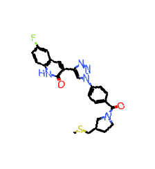 CSCC1CCN(C(=O)c2ccc(-n3cc(-c4cc5cc(F)ccc5[nH]c4=O)nn3)cc2)C1